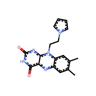 Cc1cc2nc3c(=O)[nH]c(=O)nc-3n(CCn3cccc3)c2cc1C